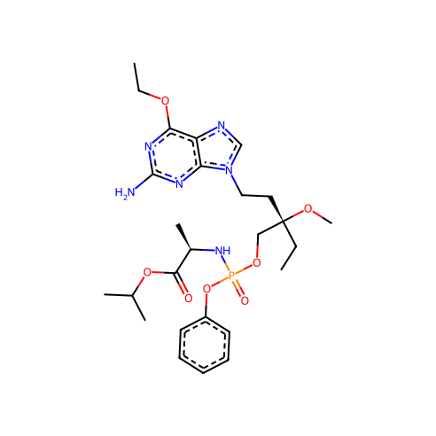 CCOc1nc(N)nc2c1ncn2CC[C@@](CC)(COP(=O)(N[C@H](C)C(=O)OC(C)C)Oc1ccccc1)OC